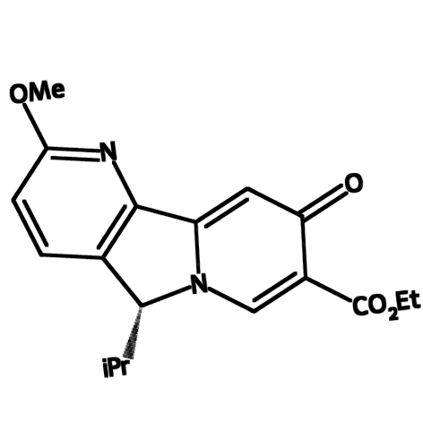 CCOC(=O)c1cn2c(cc1=O)-c1nc(OC)ccc1[C@H]2C(C)C